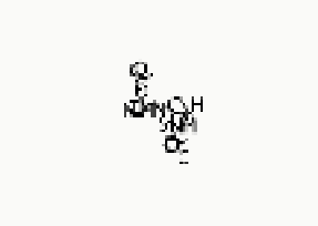 CCC1(COc2cnccc2CNC2=C(C(=S)Nc3cccc(Cl)c3C)C(=O)NCC2)CCO1